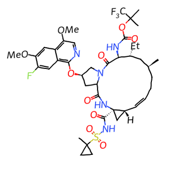 CC[C@@H]1C[C@@H](C)CC/C=C\[C@@H]2C[C@@]2(C(=O)NS(=O)(=O)C2(C)CC2)NC(=O)C2C[C@@H](Oc3ncc(OC)c4cc(OC)c(F)cc34)CN2C(=O)[C@H]1NC(=O)OC(C)(C)C(F)(F)F